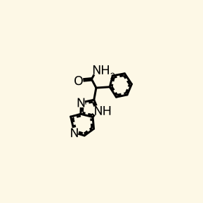 NC(=O)C(c1ccccc1)c1nc2cnccc2[nH]1